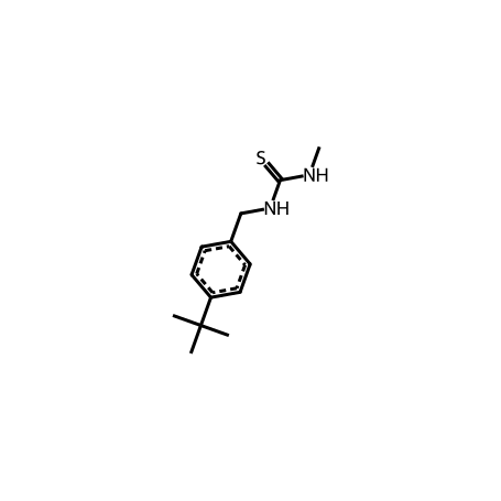 CNC(=S)NCc1ccc(C(C)(C)C)cc1